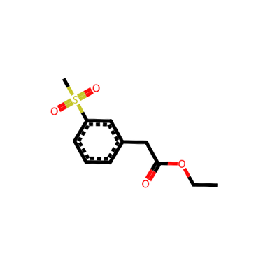 CCOC(=O)Cc1cccc(S(C)(=O)=O)c1